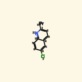 CC(C)c1ccc2cc(Cl)ccc2n1